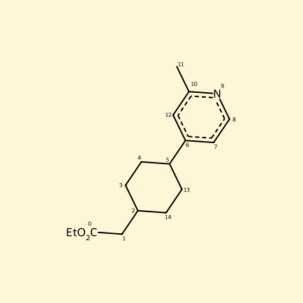 CCOC(=O)CC1CCC(c2ccnc(C)c2)CC1